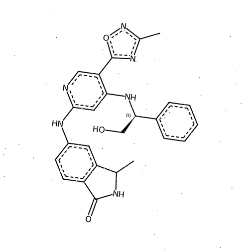 Cc1noc(-c2cnc(Nc3ccc4c(c3)C(C)NC4=O)cc2N[C@H](CO)c2ccccc2)n1